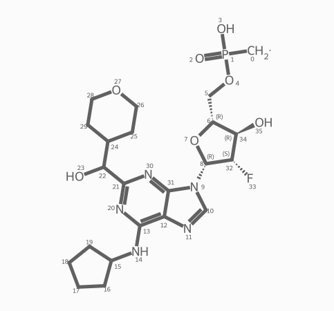 [CH2]P(=O)(O)OC[C@H]1O[C@@H](n2cnc3c(NC4CCCC4)nc(C(O)C4CCOCC4)nc32)[C@@H](F)[C@@H]1O